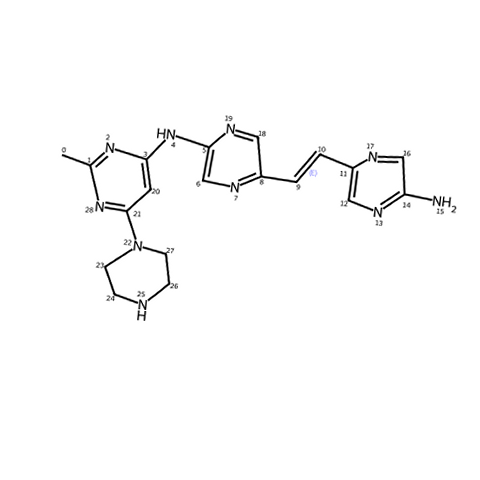 Cc1nc(Nc2cnc(/C=C/c3cnc(N)cn3)cn2)cc(N2CCNCC2)n1